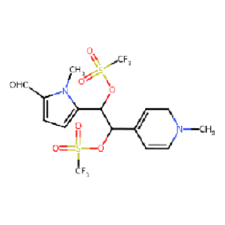 CN1C=CC(C(OS(=O)(=O)C(F)(F)F)C(OS(=O)(=O)C(F)(F)F)c2ccc(C=O)n2C)=CC1